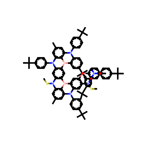 CSN1c2cc3c(cc2B2c4cc(C(C)(C)C)ccc4N(c4ccc(C(C)(C)C)cc4)c4cc(C)cc1c42)B1c2cc4c(cc2N(SC)c2cc(C)cc(c21)N3c1ccc(C(C)(C)C)cc1)N(c1ccc(C(C)(C)C)cc1)c1cc(C)cc2c1B4c1cc(C(C)(C)C)ccc1N2c1ccc(C(C)(C)C)cc1